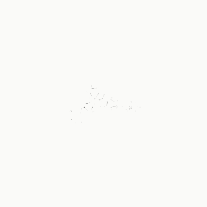 CN(C)[C@H]1CCCC[C@H]1Oc1ccc(Cc2c(-c3ccc(OCCN4CCCC4)cc3)sc3cc(O)ccc23)cc1